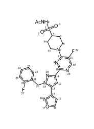 CC(=O)NS(=O)(=O)C1CCN(c2nc(-c3cc(-c4ccon4)n(Cc4ccccc4F)n3)ncc2F)CC1